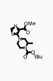 COC(=O)c1ncsc1N1CCN(C(=O)OC(C)(C)C)C(C)C1